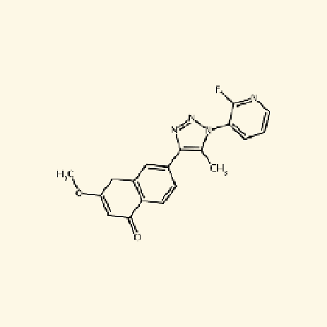 COC1=CC(=O)c2ccc(-c3nnn(-c4cccnc4F)c3C)cc2C1